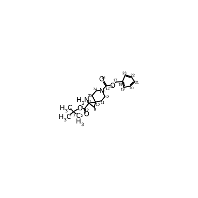 CC(C)(C)OC(=O)C1(N)CC12CCN(C(=O)OCc1ccccc1)CC2